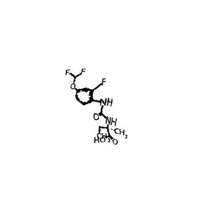 CC[C@@](C)(NC(=O)Nc1ccc(OC(F)F)cc1F)C(=O)O